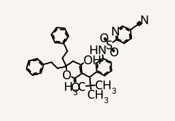 CC(C)(C)C(C1=C(O)CC(CCc2ccccc2)(CCc2ccccc2)OC1=O)c1cccc(NS(=O)(=O)c2ccc(C#N)cn2)c1